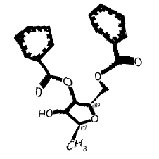 C[C@@H]1O[C@H](COC(=O)c2ccccc2)C(OC(=O)c2ccccc2)C1O